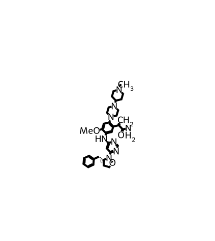 C=C(C(N)=O)c1cc(Nc2cc(N3OCC[C@@H]3Cc3ccccc3)ncn2)c(OC)cc1N1CCN(C2CCN(C)CC2)CC1